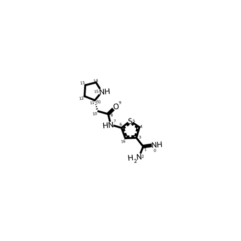 N=C(N)c1csc(NC(=O)C[C@@H]2CCCN2)c1